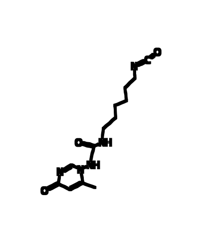 Cc1cc(=O)ncn1NC(=O)NCCCCCCN=C=O